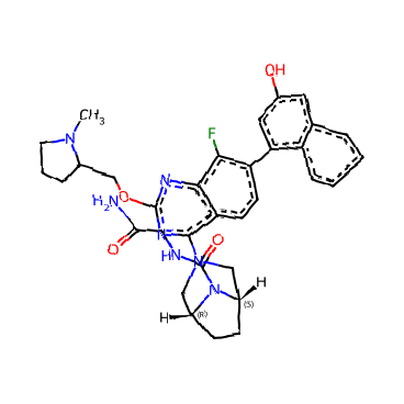 CN1CCCC1COc1nc(N2C[C@H]3CC[C@@H](C2)N3C(=O)NCC(N)=O)c2ccc(-c3cc(O)cc4ccccc34)c(F)c2n1